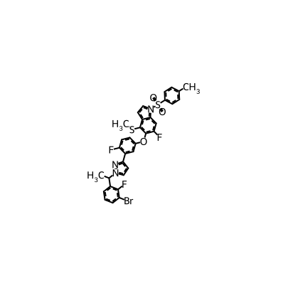 CSc1c(Oc2ccc(F)c(-c3ccn(C(C)c4cccc(Br)c4F)n3)c2)c(F)cc2c1ccn2S(=O)(=O)c1ccc(C)cc1